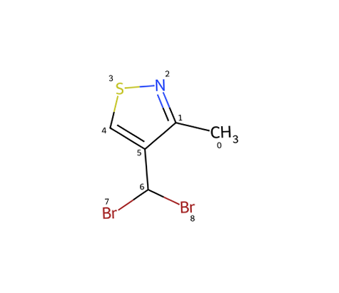 Cc1nscc1C(Br)Br